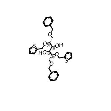 O[C@@H]([C@H](O)[C@@H](COCc1ccccc1)OCc1cccs1)[C@@H](COCc1ccccc1)OCc1cccs1